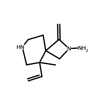 C=CC1(C)CNCCC12CN(N)C2=C